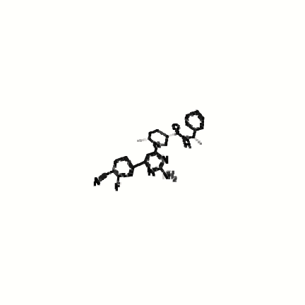 C[C@H](NC(=O)[C@H]1CC[C@@H](C)N(c2cc(-c3ccc(C#N)c(F)c3)nc(N)n2)C1)c1ccccc1